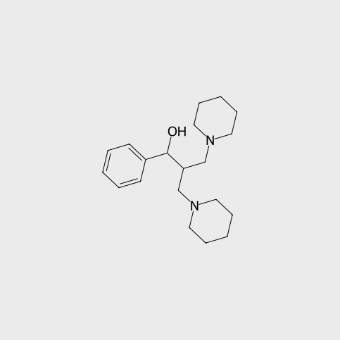 OC(c1ccccc1)C(CN1CCCCC1)CN1CCCCC1